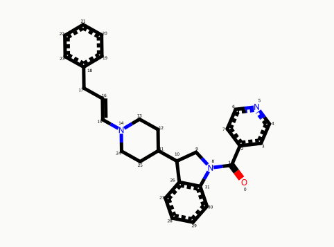 O=C(c1ccncc1)N1CC(C2CCN(C=CCc3ccccc3)CC2)c2ccccc21